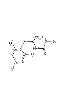 CCCCOC(=O)NC(Cc1c(C)cc(O)cc1C)C(=O)O